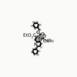 CCOC(=O)C(Cc1nc(-c2ccccc2)ccc1NC(=O)OC(C)(C)C)NC(=O)OCc1ccccc1